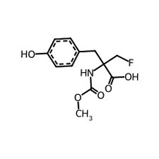 COC(=O)NC(CF)(Cc1ccc(O)cc1)C(=O)O